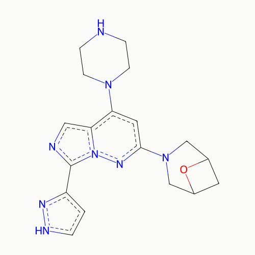 c1cc(-c2ncc3c(N4CCNCC4)cc(N4CC5CC(C4)O5)nn23)n[nH]1